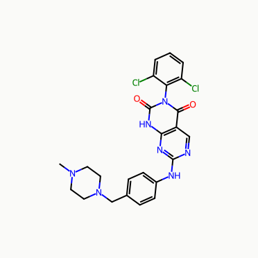 CN1CCN(Cc2ccc(Nc3ncc4c(=O)n(-c5c(Cl)cccc5Cl)c(=O)[nH]c4n3)cc2)CC1